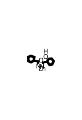 Oc1ccccc1-c1nnc(-c2ccccc2)o1.[Zn]